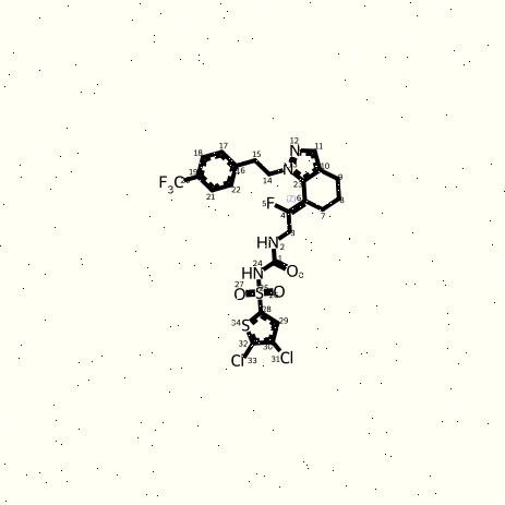 O=C(NC/C(F)=C1\CCCc2cnn(CCc3ccc(C(F)(F)F)cc3)c21)NS(=O)(=O)c1cc(Cl)c(Cl)s1